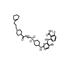 NC(=O)c1c(F)cccc1Nc1nc(NC2CCN(S(=O)(=O)CCNC(=O)C3CCN(CCCC4=CCCCC4)CC3)CC2)ncc1Br